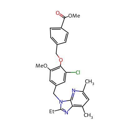 CCc1nc2c(C)cc(C)nc2n1Cc1cc(Cl)c(OCc2ccc(C(=O)OC)cc2)c(OC)c1